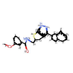 COc1cccc(C(=O)NCC2Cc3c(-c4ccc5ccccc5c4)n[nH]c3S2)c1